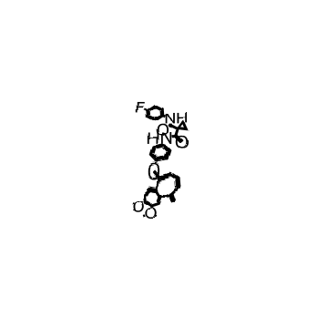 C=C1C=CC=C(Oc2ccc(NC(=O)C3(C(=O)Nc4ccc(F)cc4)CC3)cc2)C2=C=CC(OC)=C(OC)C=C12